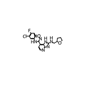 ON=C(Nc1ccc(F)c(Cl)c1)c1ccnc2nc(NCC3CCCO3)[nH]c12